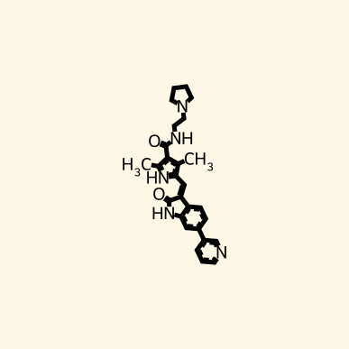 Cc1[nH]c(C=C2C(=O)Nc3cc(-c4cccnc4)ccc32)c(C)c1C(=O)NCCN1CCCC1